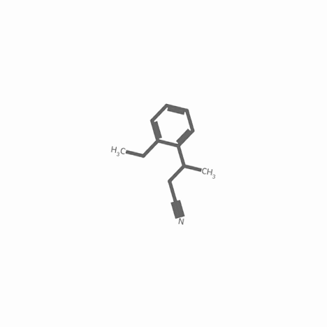 CCc1ccccc1C(C)CC#N